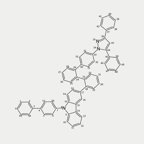 c1ccc(-c2ccc(-n3c4ccccc4c4cc(-c5ccccc5-c5ccccc5-c5ccc(-n6nc(-c7ccccc7)cc6-c6ccccc6)cc5)ccc43)cc2)cc1